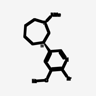 CCOc1cc([C@@H]2CCCCN(NC)C2)cnc1Br